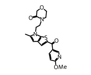 COc1ccc(C(=O)c2cc3cc(C)n(CCN4CCOCC4=O)c3s2)cn1